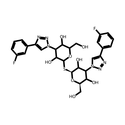 OCC1OC(S[C@@H]2O[C@H](CO)C(O)C(n3cc(-c4cccc(F)c4)nn3)C2O)C(O)C(n2cc(-c3cccc(F)c3)nn2)C1O